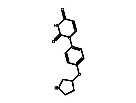 O=c1ccn(-c2ccc(OC3CCNC3)cc2)c(=O)[nH]1